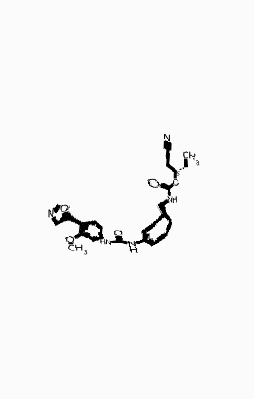 CC[C@@H](CC#N)OC(=O)NCc1cccc(NC(=O)Nc2ccc(-c3cnco3)c(OC)c2)c1